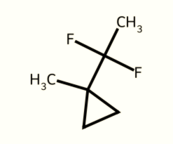 CC(F)(F)C1(C)CC1